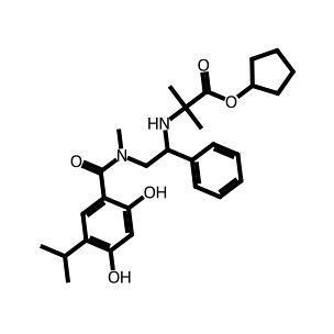 CC(C)c1cc(C(=O)N(C)CC(NC(C)(C)C(=O)OC2CCCC2)c2ccccc2)c(O)cc1O